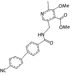 COC(=O)c1c(CNC(=O)c2ccc(-c3ccc(C#N)cc3)cc2)cnc(C)c1OC